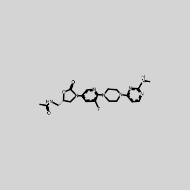 CNc1nccc(N2CCN(c3ncc(N4C[C@H](CNC(C)=O)OC4=O)cc3F)CC2)n1